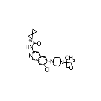 CC1(N2CCN(c3cc4cc(NC(=O)[C@@H]5CC56CC6)ncc4cc3Cl)CC2)COC1